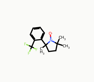 CC1(C)CCC(C)(c2ccccc2C(F)(F)F)N1[O]